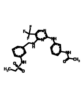 CCS(=O)(=O)Nc1cccc(CNc2nc(Nc3cccc(NC(C)=O)c3)ncc2C(F)(F)F)c1